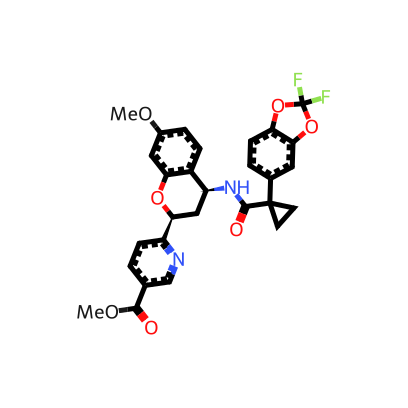 COC(=O)c1ccc([C@@H]2C[C@H](NC(=O)C3(c4ccc5c(c4)OC(F)(F)O5)CC3)c3ccc(OC)cc3O2)nc1